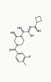 Cc1ccc(C(=O)N2CCN(C(=N)/C(S)=N/C(=N)C3CCC3)C(=N)C2)cc1F